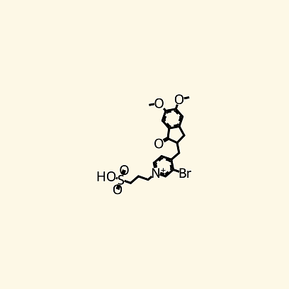 COc1cc2c(cc1OC)C(=O)C(Cc1cc[n+](CCCS(=O)(=O)O)cc1Br)C2